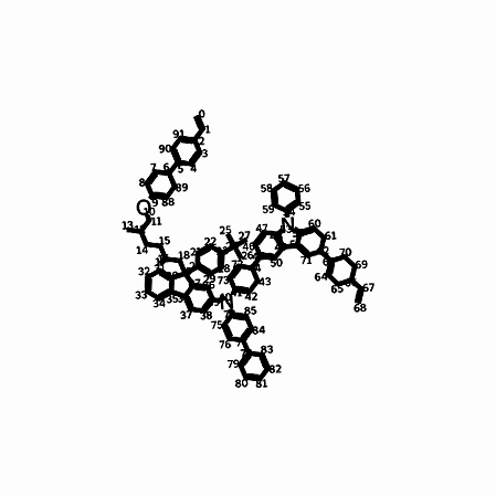 C=Cc1ccc(C2C=CC(OCC(C)CCC(C)CC3(c4ccc(C(C)(C)C)cc4)c4ccccc4-c4ccc(N(C5=CCC(c6ccc7c(c6)c6c(n7-c7ccccc7)=CCC(C7=CCC(C=C)CC7)C=6)C=C5)c5ccc(-c6ccccc6)cc5)cc43)=CC2)cc1